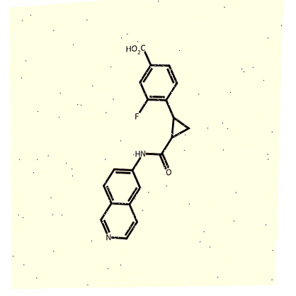 O=C(O)c1ccc(C2CC2C(=O)Nc2ccc3cnccc3c2)c(F)c1